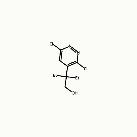 CCC(CC)(CO)c1cc(Cl)nnc1Cl